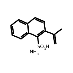 C=C(C)c1ccc2ccccc2c1S(=O)(=O)O.N